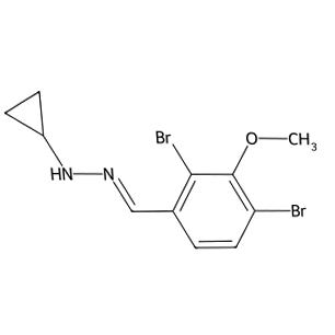 COc1c(Br)ccc(/C=N/NC2CC2)c1Br